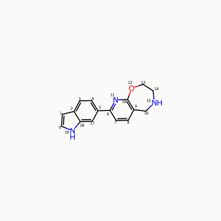 c1cc2ccc(-c3ccc4c(n3)OCCNC4)cc2[nH]1